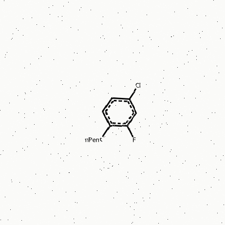 CC[CH]CCc1ccc(Cl)cc1F